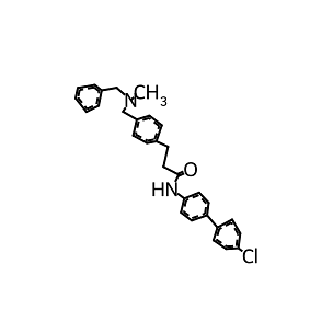 CN(Cc1ccccc1)Cc1ccc(CCC(=O)Nc2ccc(-c3ccc(Cl)cc3)cc2)cc1